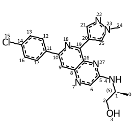 C[C@@H](CO)Nc1cnc2cc(-c3ccc(Cl)cc3)nc(-c3cnn(C)c3)c2n1